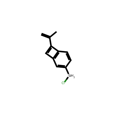 C=C(C)C1=Cc2cc([SiH2]Cl)ccc21